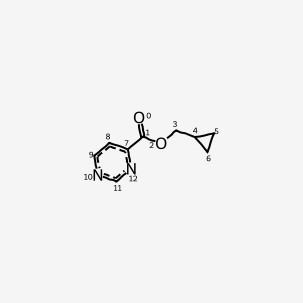 O=C(OCC1CC1)c1ccncn1